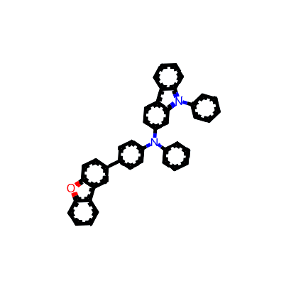 c1ccc(N(c2ccc(-c3ccc4oc5ccccc5c4c3)cc2)c2ccc3c4ccccc4n(-c4ccccc4)c3c2)cc1